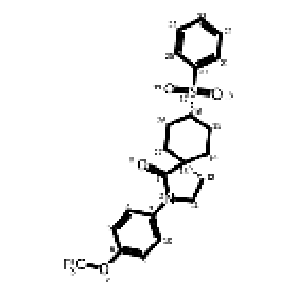 O=C1N(c2ccc(OC(F)(F)F)cc2)CC[C@]12CC[C@@H](S(=O)(=O)c1ccccc1)CC2